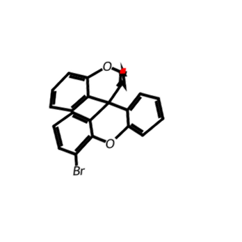 Brc1cccc2c1Oc1ccccc1C21c2ccccc2Oc2ccccc21